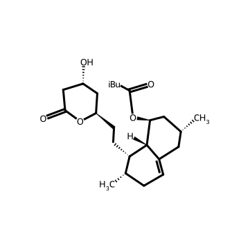 CCC(C)C(=O)O[C@H]1C[C@H](C)CC2=CC[C@H](C)[C@H](CC[C@@H]3C[C@@H](O)CC(=O)O3)[C@@H]21